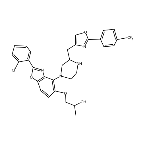 CC(O)COc1ccc2oc(-c3ccccc3Cl)nc2c1N1CCNC(Cc2coc(-c3ccc(C(F)(F)F)cc3)n2)C1